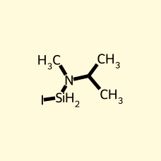 CC(C)N(C)[SiH2]I